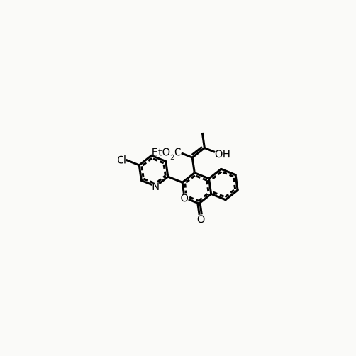 CCOC(=O)/C(=C(\C)O)c1c(-c2ccc(Cl)cn2)oc(=O)c2ccccc12